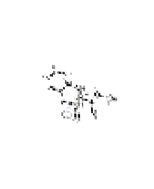 CC(C)(C)OC(=O)N/C(=C\c1cncnc1N)C(=O)O